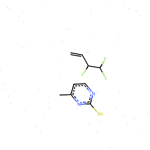 C=CC(F)C(F)F.Cc1ccnc(S)n1